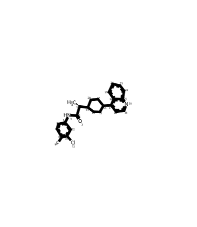 C[C@@H](C(=O)Nc1ccc(F)c(Cl)c1)C1CCC(c2ccnc3ccccc23)CC1